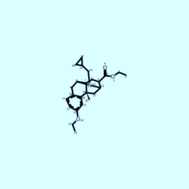 CCOC(=O)C1CC2C3Cc4ccc(OCC)cc4[C@@]2(C)CC1N3CC1CC1